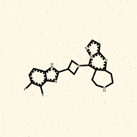 Fc1ccc2[nH]c(C3CN(c4c5c(nc6ccnn46)CCNCC5)C3)nc2c1F